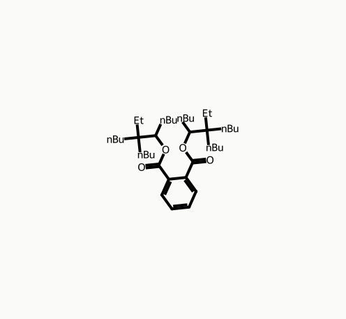 CCCCC(OC(=O)c1ccccc1C(=O)OC(CCCC)C(CC)(CCCC)CCCC)C(CC)(CCCC)CCCC